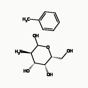 Cc1ccccc1.N[C@H]1C(O)O[C@H](CO)[C@H](O)[C@@H]1O